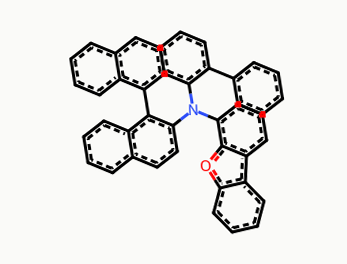 c1ccc(-c2ccccc2N(c2ccc3ccccc3c2-c2cccc3ccccc23)c2cccc3c2oc2ccccc23)cc1